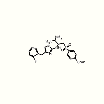 COc1ccc(S(=O)(=O)CC(Nc2nc(Cc3ccccc3F)ns2)C(C)N)cc1